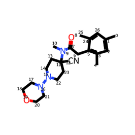 Cc1cc(C)c(CC(=O)N(C)C2(C#N)CCN(N3CCOCC3)CC2)c(C)c1